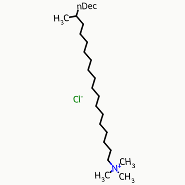 CCCCCCCCCCC(C)CCCCCCCCCCCCCCCC[N+](C)(C)C.[Cl-]